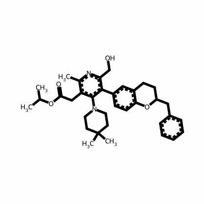 Cc1nc(CO)c(-c2ccc3c(c2)CCC(Cc2ccccc2)O3)c(N2CCC(C)(C)CC2)c1CC(=O)OC(C)C